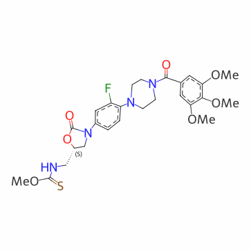 COC(=S)NC[C@H]1CN(c2ccc(N3CCN(C(=O)c4cc(OC)c(OC)c(OC)c4)CC3)c(F)c2)C(=O)O1